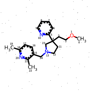 COCCC1(c2ccccn2)CCN(Cc2ccc(C)nc2C)C1